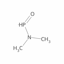 CN(C)[PH]=O